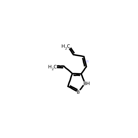 C=C/C=C\C1=C(C=C)C=BB1